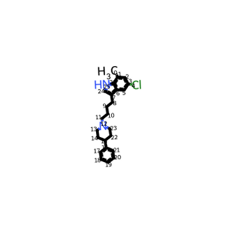 Cc1cc(Cl)cc2c(CCCCN3CCC(c4ccccc4)CC3)c[nH]c12